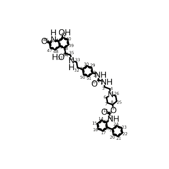 O=C(NCCN1CCC(OC(=O)Nc2ccccc2-c2ccccc2)CC1)Nc1ccc(CCNC[C@@H](O)c2ccc(O)c3[nH]c(=O)ccc23)cc1